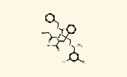 COC(=O)/C(=C/[C@](CO[C@H](C)c1cc(C(F)(F)F)cc(C(F)(F)F)c1)(NC(=O)OCc1ccccc1)c1ccccc1)NC(=O)OC(C)(C)C